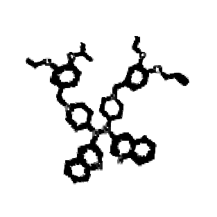 C=CCOc1ccc(CN2CCC(N(c3cnc4ccccc4c3)N(c3cnc4ccccc4c3)C3CCN(Cc4ccc(OC(C)C)c(OCC)c4)CC3)CC2)cc1OCC